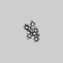 c1ccc(-c2nc(-n3c4ccccc4c4c5c6ccccc6oc5c5ccccc5c43)nc3ccncc23)cc1